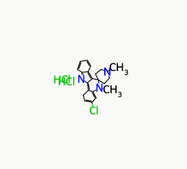 CN1CCC2(CC1)C1=c3ccccc3=NC1=C1CC=C(Cl)C=C1N2C.Cl.Cl